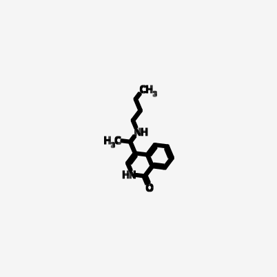 CCCCNC(C)c1c[nH]c(=O)c2ccccc12